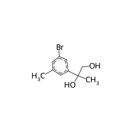 Cc1cc(Br)cc(C(C)(O)CO)c1